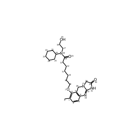 Cc1ccc2c(c1OCCCCCCC(=O)N(CCO)C1CCCCC1)CN1CC(=O)NC1=N2